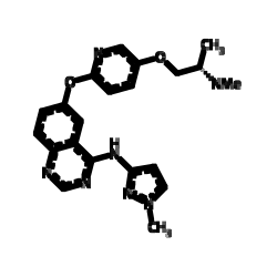 CN[C@@H](C)COc1ccc(Oc2ccc3ncnc(Nc4ccn(C)n4)c3c2)nc1